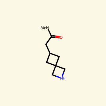 CNC(=O)CC1CC2(CNC2)C1